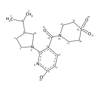 CC(C)C1CCN(c2nc(Cl)ccc2C(=O)N2CCS(=O)(=O)CC2)C1